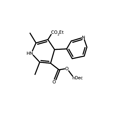 CCCCCCCCCCOC(=O)C1=C(C)NC(C)=C(C(=O)OCC)C1c1cccnc1